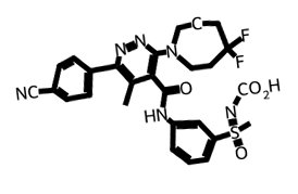 Cc1c(-c2ccc(C#N)cc2)nnc(N2CCCC(F)(F)CC2)c1C(=O)Nc1cccc(S(C)(=O)=NC(=O)O)c1